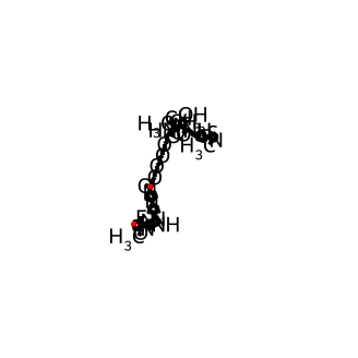 COc1cccc(F)c1-c1ncc2[nH]nc(-c3ccc(N4CCN(C(=O)CCOCCOCCOCCOCCC(=O)N[C@H](C(=O)N5C[C@H](O)C[C@H]5C(=O)NCc5ccc(-c6scnc6C)cc5)C(C)(C)C)CC4)cc3)c2n1